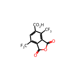 O=C(O)c1cc(C(F)(F)F)c2c(c1C(F)(F)F)C(=O)OC2=O